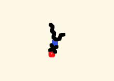 CCCCCC(CCC)N1CC2(COC2)C1